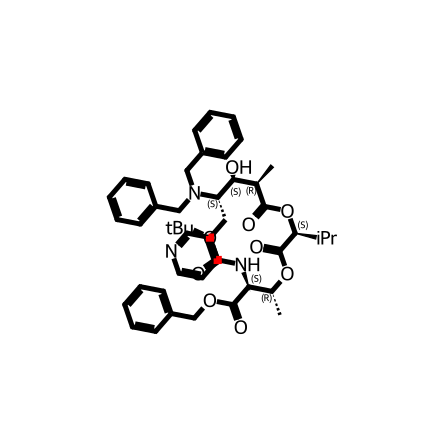 CC(C)[C@H](OC(=O)[C@H](C)[C@H](O)[C@H](Cc1cccnc1)N(Cc1ccccc1)Cc1ccccc1)C(=O)O[C@H](C)[C@H](NC(=O)OC(C)(C)C)C(=O)OCc1ccccc1